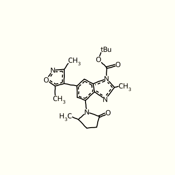 Cc1noc(C)c1-c1cc(N2C(=O)CCC2C)c2nc(C)n(C(=O)OC(C)(C)C)c2c1